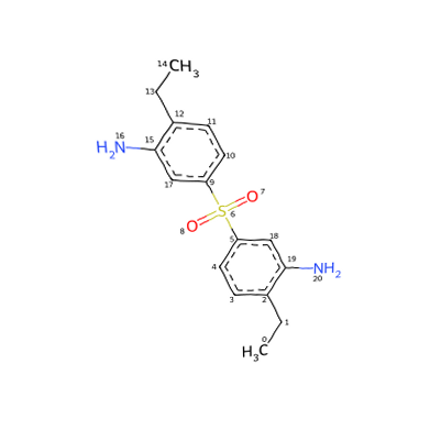 CCc1ccc(S(=O)(=O)c2ccc(CC)c(N)c2)cc1N